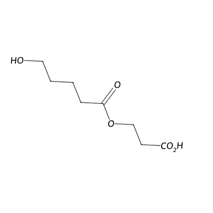 O=C(O)CCOC(=O)CCCCO